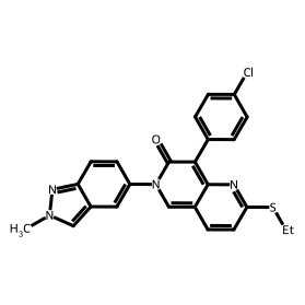 CCSc1ccc2cn(-c3ccc4nn(C)cc4c3)c(=O)c(-c3ccc(Cl)cc3)c2n1